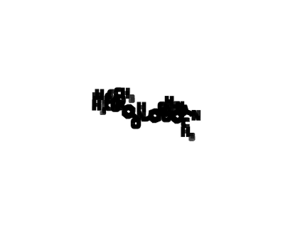 Cc1ccc(NS(=O)(=O)c2ccc(CNC(=O)c3ccc(B4OC(C)(C)C(C)(C)O4)cc3)cc2)c2[nH]cc(C#N)c12